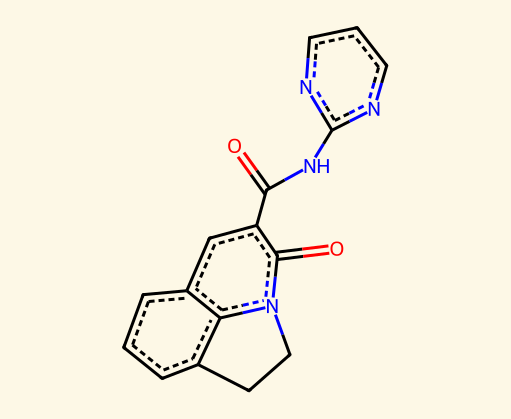 O=C(Nc1ncccn1)c1cc2cccc3c2n(c1=O)CC3